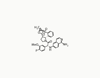 COc1cc([C@@H](Nc2ccc3c(N)nccc3c2)C(=O)N2CCC(C3OC(C)O3)[C@@H]2c2ccccc2S(=O)(=O)C2CC2)ccc1F